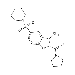 CC1c2cc(S(=O)(=O)N3CCCCC3)ccc2OC1C(=O)N1CCCC1